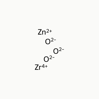 [O-2].[O-2].[O-2].[Zn+2].[Zr+4]